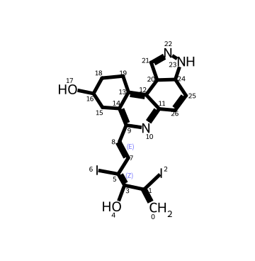 C=C(I)/C(O)=C(I)\C=C\c1nc2c(c3c1CC(O)CC3)C1C=NNC1C=C2